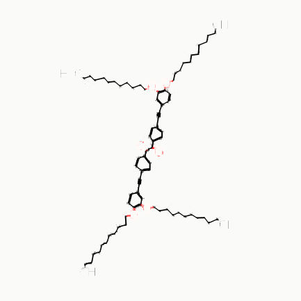 CCCCCCCCCCCCOc1ccc(C#Cc2ccc(C(=O)C(=O)c3ccc(C#Cc4ccc(OCCCCCCCCCCCC)c(OCCCCCCCCCCCC)c4)cc3)cc2)cc1OCCCCCCCCCCCC